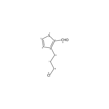 O=Cc1sccc1CCCCl